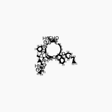 C=C[C@@H]1C[C@]1(NC(=O)[C@@H]1C[C@@H]2CN1C(=O)[C@H](C1CCCCC1)NC(=O)O[C@@H]1C[C@H]1CCCCCc1c(nc3ccccc3c1OC1CCN(CC3CC3)CC1)O2)C(=O)NS(=O)(=O)C1(C)CC1.O=CO